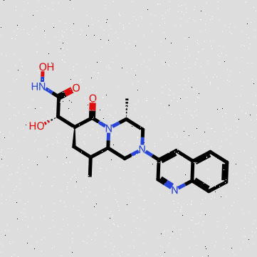 CC1C[C@@H]([C@H](O)C(=O)NO)C(=O)N2C1CN(c1cnc3ccccc3c1)C[C@H]2C